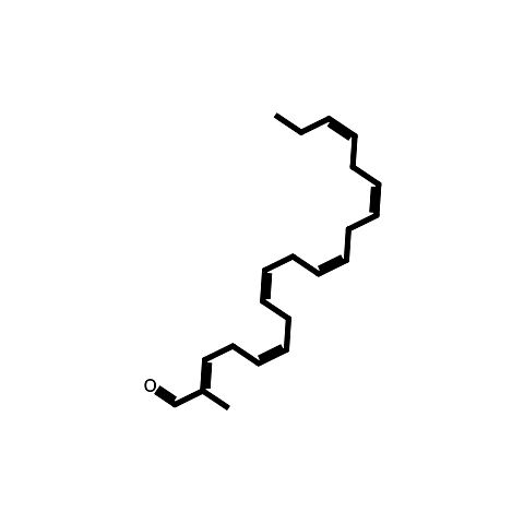 CC/C=C\C/C=C\C/C=C\C/C=C\C/C=C\C/C=C(\C)C=O